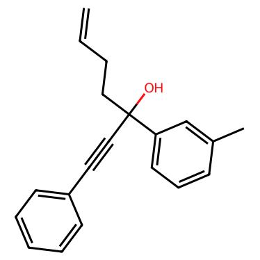 C=CCCC(O)(C#Cc1ccccc1)c1cccc(C)c1